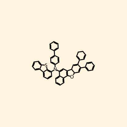 C1=CC(C2=CC3c4cc(N(c5ccc(-c6ccccc6)cc5)c5cccc6c5sc5ccccc56)c5ccccc5c4OC3C=C2c2ccccc2)=CCC1